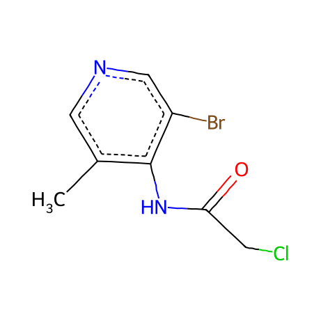 Cc1cncc(Br)c1NC(=O)CCl